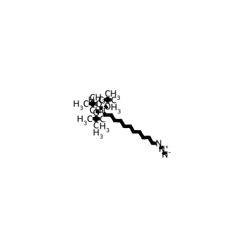 CC(C)(C)O[Si](CCCCCCCCCCCN=[N+]=[N-])(OC(C)(C)C)OC(C)(C)C